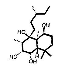 CC[C@@H](C)CC[C@@]1(O)[C@@H](C)[C@@H](O)[C@@H](O)[C@H]2C(C)(C)CC[C@H](O)[C@@]21C